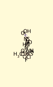 COC(=O)C1=C(CN2CCN3C(=O)N(c4nc(/C=C/C(=O)O)cs4)C[C@@H]3C2)NC(c2nccs2)=N[C@H]1c1cccc(F)c1Cl